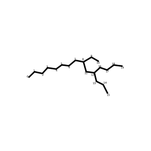 CCCCCCCCC(CC)CC(CCC)CCCC